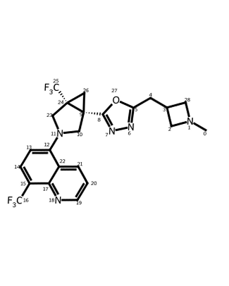 CN1CC(Cc2nnc([C@]34CN(c5ccc(C(F)(F)F)c6ncccc56)C[C@@]3(C(F)(F)F)C4)o2)C1